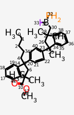 CCCCCC(CC(C)(C)C(=O)OC)(c1ccccc1)c1ccc(C(C)(CC(C)(C)CB(P)I)c2ccccc2)cc1